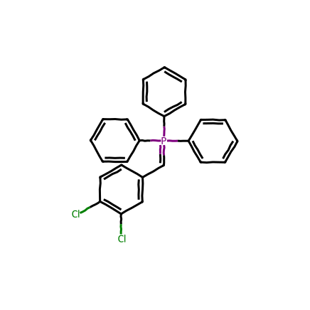 Clc1ccc(C=P(c2ccccc2)(c2ccccc2)c2ccccc2)cc1Cl